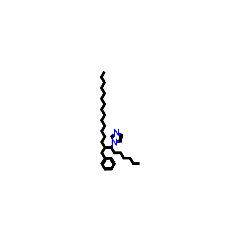 CCCCCCCCCCCCCCC(Cc1ccccc1)C(CCCCCC)n1ccnc1